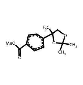 COC(=O)c1ccc(C2(C(F)(F)F)COC(C)(C)O2)cc1